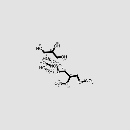 O=[N+]([O-])O.O=[N+]([O-])O.O=[N+]([O-])O.O=[N+]([O-])OCC(CO[N+](=O)[O-])O[N+](=O)[O-].OCC(O)CO